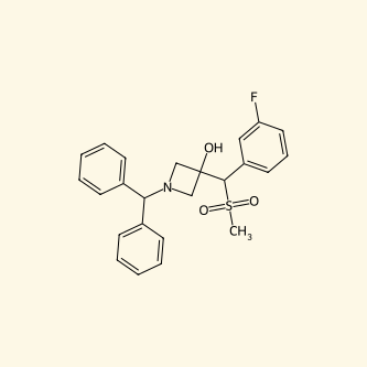 CS(=O)(=O)C(c1cccc(F)c1)C1(O)CN(C(c2ccccc2)c2ccccc2)C1